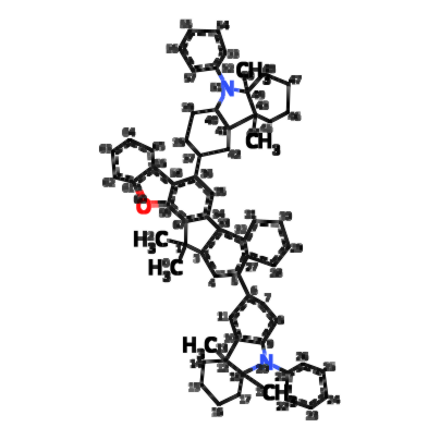 CC1(C)c2cc(-c3ccc4c(c3)C3(C)CCCCC3(C)N4c3ccccc3)c3ccccc3c2-c2cc(C3CCC4C(C3)C3(C)CCCCC3(C)N4c3ccccc3)c3c(oc4ccccc43)c21